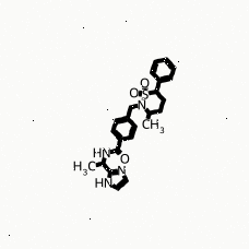 CC(NC(=O)c1ccc(CN2C(C)CCC(c3ccccc3)S2(=O)=O)cc1)c1ncc[nH]1